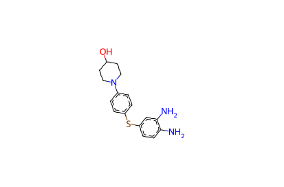 Nc1ccc(Sc2ccc(N3CCC(O)CC3)cc2)cc1N